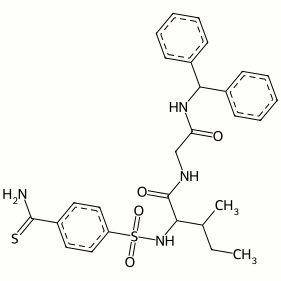 CCC(C)C(NS(=O)(=O)c1ccc(C(N)=S)cc1)C(=O)NCC(=O)NC(c1ccccc1)c1ccccc1